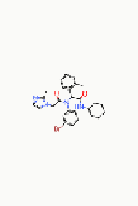 Cc1ccccc1C(C(=O)NC1CCCCC1)N(C(=O)Cn1ccnc1C)c1cccc(Br)c1